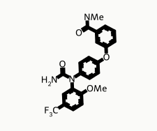 CNC(=O)c1cccc(Oc2ccc(N(C(N)=O)c3cc(C(F)(F)F)ccc3OC)cc2)c1